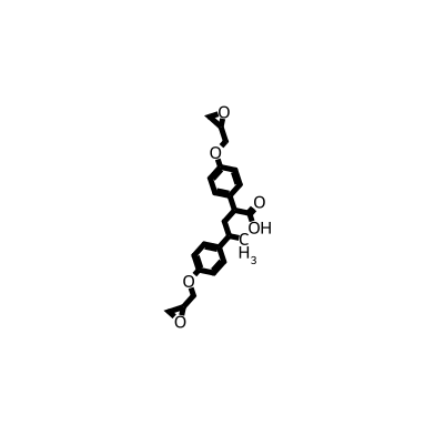 CC(CC(C(=O)O)c1ccc(OCC2CO2)cc1)c1ccc(OCC2CO2)cc1